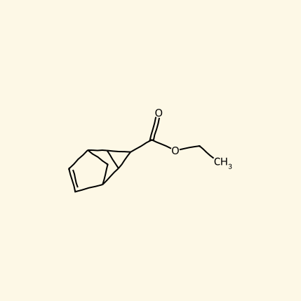 CCOC(=O)C1C2C3C=CC(C3)C12